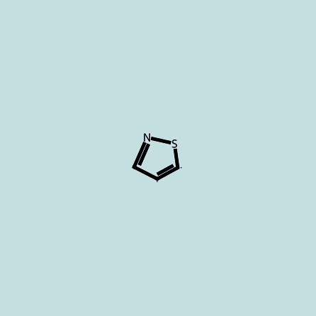 [c]1[c]snc1